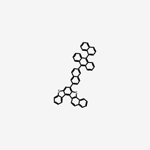 c1ccc2c(-c3c4ccccc4c(-c4ccc5cc(-c6cc7sc8ccccc8c7c7c6sc6c8ccccc8ccc67)ccc5c4)c4ccccc34)cccc2c1